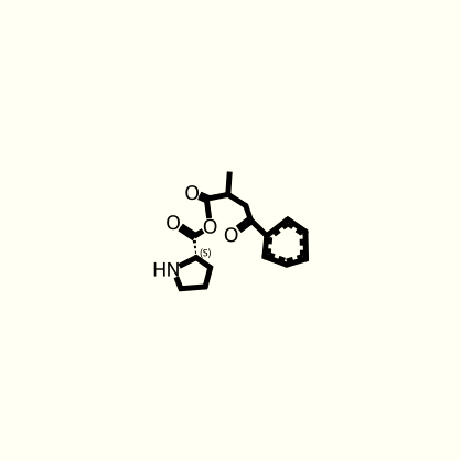 CC(CC(=O)c1ccccc1)C(=O)OC(=O)[C@@H]1CCCN1